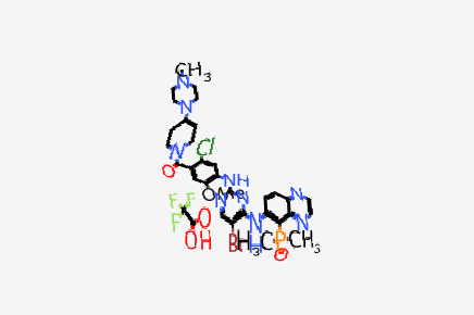 COc1cc(C(=O)N2CCC(N3CCN(C)CC3)CC2)c(Cl)cc1Nc1ncc(Br)c(Nc2ccc3nccnc3c2P(C)(C)=O)n1.O=C(O)C(F)(F)F